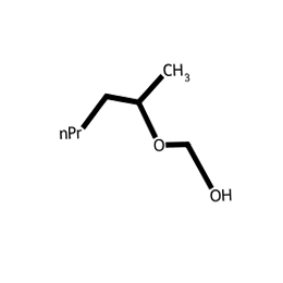 CCCCC(C)OCO